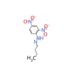 CCCC=NNc1ccc([N+](=O)[O-])cc1[N+](=O)[O-]